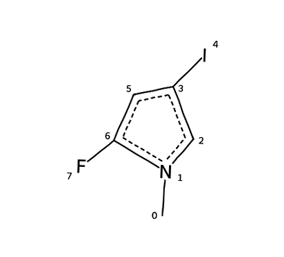 Cn1cc(I)cc1F